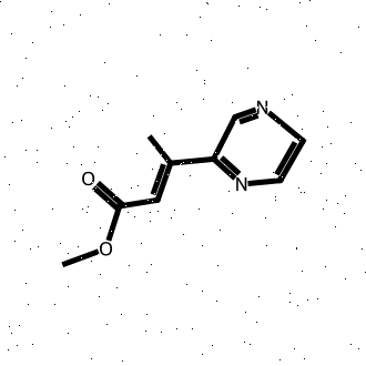 COC(=O)C=C(C)c1cnccn1